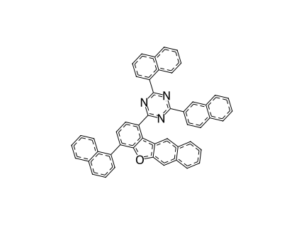 c1ccc2cc(-c3nc(-c4cccc5ccccc45)nc(-c4ccc(-c5cccc6ccccc56)c5oc6cc7ccccc7cc6c45)n3)ccc2c1